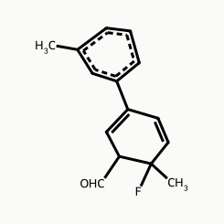 Cc1cccc(C2=CC(C=O)C(C)(F)C=C2)c1